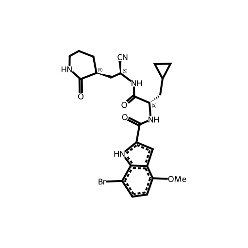 COc1ccc(Br)c2[nH]c(C(=O)N[C@@H](CC3CC3)C(=O)N[C@H](C#N)C[C@@H]3CCCNC3=O)cc12